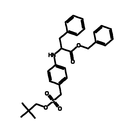 CC(C)(C)COS(=O)(=O)Cc1ccc(NC(Cc2ccccc2)C(=O)OCc2ccccc2)cc1